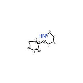 c1ccc([C]2CCCCN2)cc1